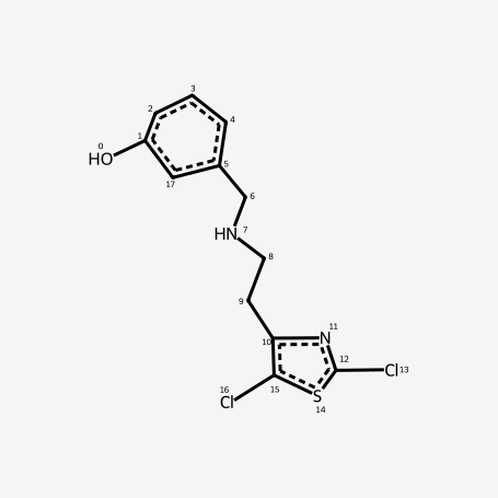 Oc1cccc(CNCCc2nc(Cl)sc2Cl)c1